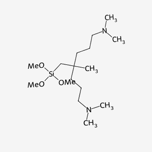 CO[Si](CC(C)(CCCN(C)C)CCCN(C)C)(OC)OC